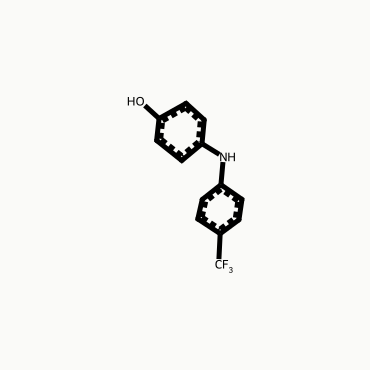 Oc1ccc(Nc2ccc(C(F)(F)F)cc2)cc1